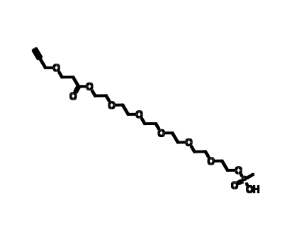 C#CCOCCC(=O)OCCOCCOCCOCCOCCOCCOP(C)(=O)O